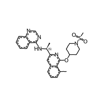 Cc1cccc2cc([C@H](C)Nc3ncnc4ccccc34)nc(OC3CCN(S(C)(=O)=O)CC3)c12